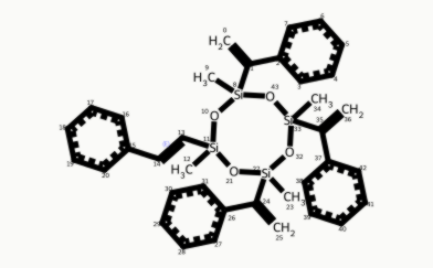 C=C(c1ccccc1)[Si]1(C)O[Si](C)(/C=C/c2ccccc2)O[Si](C)(C(=C)c2ccccc2)O[Si](C)(C(=C)c2ccccc2)O1